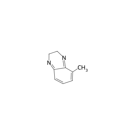 Cc1cccc2c1=NCCN=2